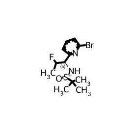 CC(F)[C@@H](N[S+]([O-])C(C)(C)C)c1cccc(Br)n1